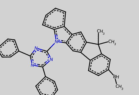 CBc1ccc2c(c1)C(C)(C)c1cc3c4ccccc4n(-c4nc(-c5ccccc5)nc(-c5ccccc5)n4)c3cc1-2